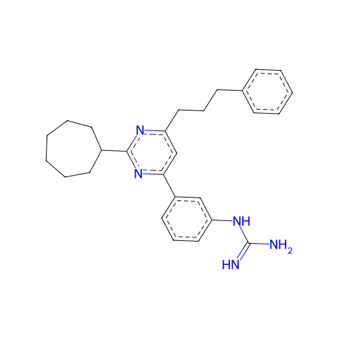 N=C(N)Nc1cccc(-c2cc(CCCc3ccccc3)nc(C3CCCCCC3)n2)c1